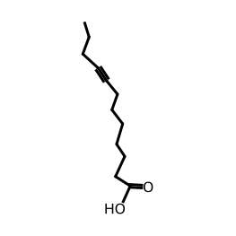 CCCC#CCCCCCCC(=O)O